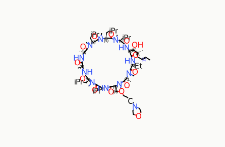 C/C=C/C[C@@H](C)[C@@H](O)[C@@H]1NC(=O)[C@H](C(C)C)N(C)C(=O)[C@H](CC(C)C)N(C)C(=O)[C@H](CC(C)C)N(C)C(=O)[C@@H](C)NC(=O)[C@H](C)NC(=O)[C@H](CC(C)C)N(C)C(=O)[C@H](C(C)C)NC(=O)[C@H]([C@@H](C)OCCCCN2CCOCC2)N(C)C(=O)[C@@H](C)N(C)C(=O)[C@H](CC)NC1=O